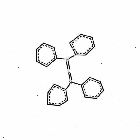 C(=[Si](c1ccccc1)c1ccccc1)=[Si](c1ccccc1)c1ccccc1